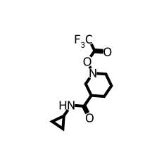 O=C(NC1CC1)C1CCCN(OC(=O)C(F)(F)F)C1